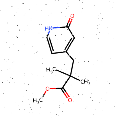 COC(=O)C(C)(C)Cc1cc[nH]c(=O)c1